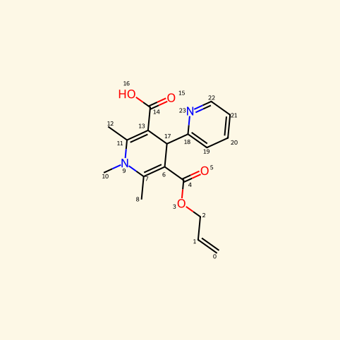 C=CCOC(=O)C1=C(C)N(C)C(C)=C(C(=O)O)C1c1ccccn1